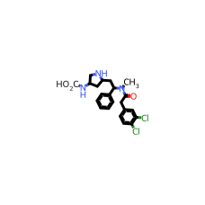 CN(C(=O)Cc1ccc(Cl)c(Cl)c1)C(CC1CC(NC(=O)O)CN1)c1ccccc1